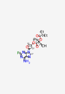 C#C[C@@](OC(=O)C(CC)CC)(C(=O)OC1CO[C@@H](n2cnc3c(N)nc(F)nc32)C1)C(C)C